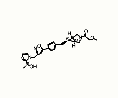 COCC(=O)N1C[C@@H]2[C@H](C#Cc3ccc(-c4cc(Cn5ccnc5[C@H](C)O)no4)cc3)[C@@H]2C1